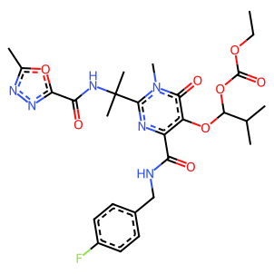 CCOC(=O)OC(Oc1c(C(=O)NCc2ccc(F)cc2)nc(C(C)(C)NC(=O)c2nnc(C)o2)n(C)c1=O)C(C)C